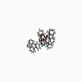 c1ccc(-c2nc(-c3ccc4c(c3)c3cccc5oc6cccc4c6c53)nc(-n3c4ccccc4c4ccc5c6ccccc6n(-c6ccccc6)c5c43)n2)cc1